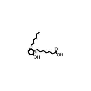 CCCCCC[C@H]1CCC(O)[C@@H]1CCCCCCC(=O)O